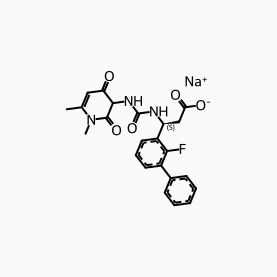 CC1=CC(=O)C(NC(=O)N[C@@H](CC(=O)[O-])c2cccc(-c3ccccc3)c2F)C(=O)N1C.[Na+]